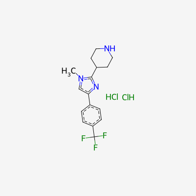 Cl.Cl.Cn1cc(-c2ccc(C(F)(F)F)cc2)nc1C1CCNCC1